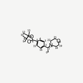 C[C@@H](c1ccc(C2OC(C)(C)C(C)(C)O2)cc1)N1CCOCC1